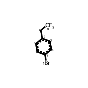 FC(F)(F)Cc1c[c]c(Br)cc1